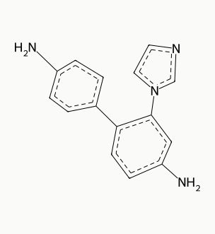 Nc1ccc(-c2ccc(N)cc2-n2ccnc2)cc1